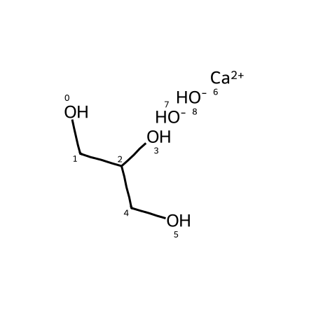 OCC(O)CO.[Ca+2].[OH-].[OH-]